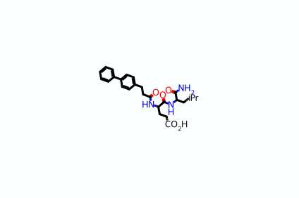 CC(C)CC(NC(=O)C(CCC(=O)O)NC(=O)CCc1ccc(-c2ccccc2)cc1)C(N)=O